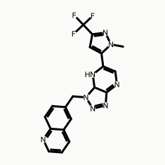 Cn1nc(C(F)(F)F)cc1C1=CN=C2N=NN(Cc3ccc4ncccc4c3)C2N1